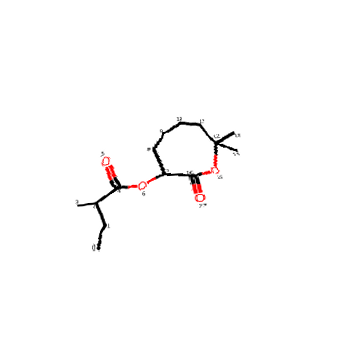 CCC(C)C(=O)OC1CCCCC(C)(C)OC1=O